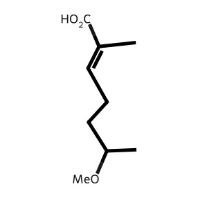 COC(C)CC/C=C(\C)C(=O)O